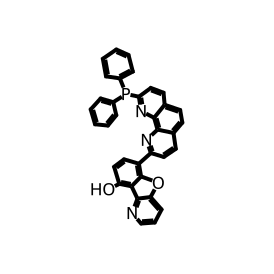 Oc1ccc(-c2ccc3ccc4ccc(P(c5ccccc5)c5ccccc5)nc4c3n2)c2oc3cccnc3c12